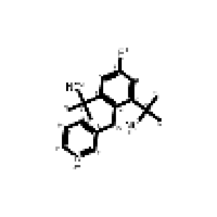 CC(C)(C#N)c1cc(F)cc(C(C)(C)C#N)c1Cc1cccnc1